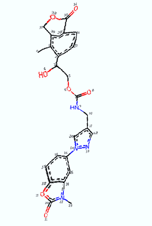 Cc1c(C(O)COC(=O)NCc2cnn(-c3ccc4oc(=O)n(C)c4c3)c2)ccc2c1COC2=O